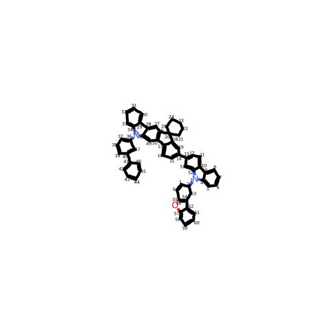 C1=CC(n2c3ccccc3c3ccc(-c4ccc5c(c4)C4(CCCCC4)c4cc6c7ccccc7n(-c7cccc(-c8ccccc8)c7)c6cc4-5)cc32)Cc2c1oc1ccccc21